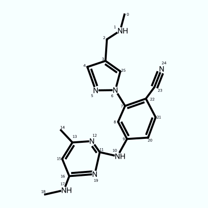 CNCc1cnn(-c2cc(Nc3nc(C)cc(NC)n3)ccc2C#N)c1